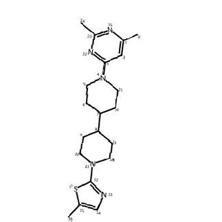 Cc1cc(N2CCC(C3CCN(c4ncc(C)s4)CC3)CC2)nc(C)n1